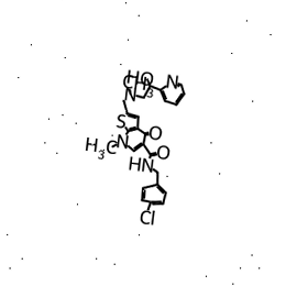 CN(Cc1cc2c(=O)c(C(=O)NCc3ccc(Cl)cc3)cn(C)c2s1)CC(O)c1ccccn1